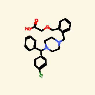 O=C(O)COCc1ccccc1CN1CCN(C(c2ccccc2)c2ccc(Cl)cc2)CC1